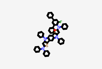 Fc1cc(-c2ccccc2)cc(-c2ccccc2)c1N(c1ccccc1)c1cc2c(s1)c1cc3c(cc1n2-c1ccccc1)c1sc(N(c2ccccc2)c2ccccc2)cc1n3-c1ccccc1